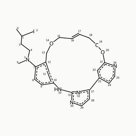 CC(I)CCN(C)c1ccc2cc1COC/C=C/CCOc1cc(ccn1)-c1ccnc(n1)N2